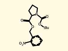 CC(C)(C)OC(=O)N1CCCC1C(=O)OCc1ccccc1[N+](=O)[O-]